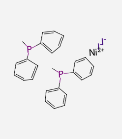 CP(c1ccccc1)c1ccccc1.CP(c1ccccc1)c1ccccc1.[I-].[I-].[Ni+2]